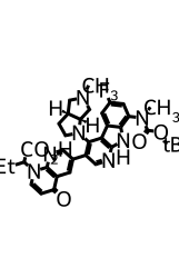 CCC(C(=O)O)n1ccc(=O)c2cc(-c3cnc4[nH]c5c(N(C)C(=O)OC(C)(C)C)cc(F)cc5c4c3N3CC[C@@H]4CN(C)C[C@@H]43)cnc21